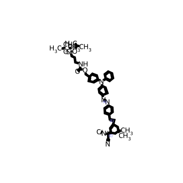 [C-]#[N+]/C(C#N)=C1C=C(/C=C/c2ccc(/N=N/c3ccc(N(c4ccccc4)c4ccc(COC(=O)NCCC[Si](C)(OC(C)C)OC(C)C)cc4)cc3)cc2)CC(C)(C)C\1